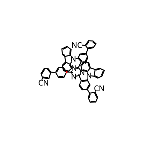 N#Cc1cccc(-c2ccc(-c3nc(-c4ccc(-c5ccccc5C#N)cc4-n4c5ccccc5c5ccccc54)nc(-c4ccc(-c5ccccc5C#N)cc4-n4c5ccccc5c5ccccc54)n3)cc2)c1